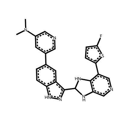 CN(C)c1cncc(-c2ccc3[nH]nc(C4Nc5cncc(-c6ccc(F)s6)c5N4)c3c2)c1